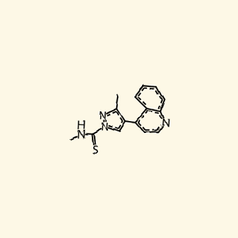 CNC(=S)n1cc(-c2ccnc3ccccc23)c(C)n1